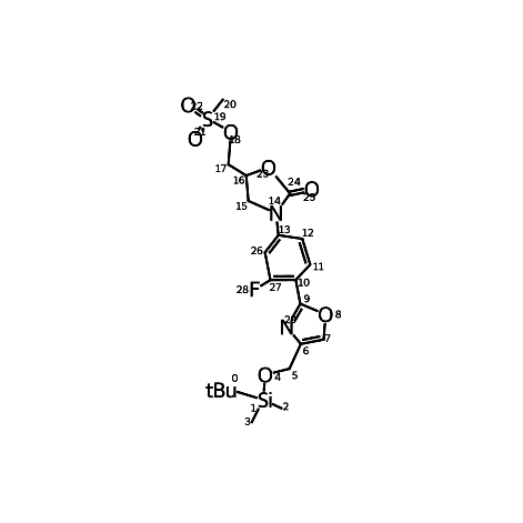 CC(C)(C)[Si](C)(C)OCc1coc(-c2ccc(N3CC(COS(C)(=O)=O)OC3=O)cc2F)n1